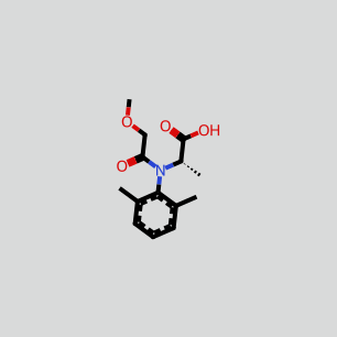 COCC(=O)N(c1c(C)cccc1C)[C@@H](C)C(=O)O